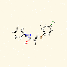 C/C(=C\Sc1ccc(F)cc1)C(=O)Nc1ccccc1